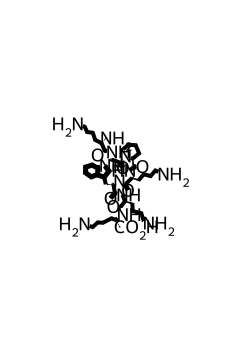 NCCCC[C@H](NC(=O)[C@H](CCCCN)NC(=O)[C@H](Cc1c[nH]c2ccccc12)NC(=O)[C@H](CCCCN)NC(=O)[C@@H]1CCCCN1C(=O)CNC(=O)[C@@H](N)CCCCN)C(=O)O